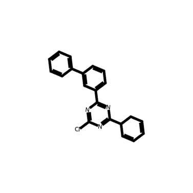 Clc1nc(-c2cccc(-c3ccccc3)c2)nc(C2C=CC=CC2)n1